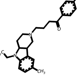 CCN1c2ccc(C)cc2C2CN(CCCC(=O)c3ccc(F)cc3)CCC21